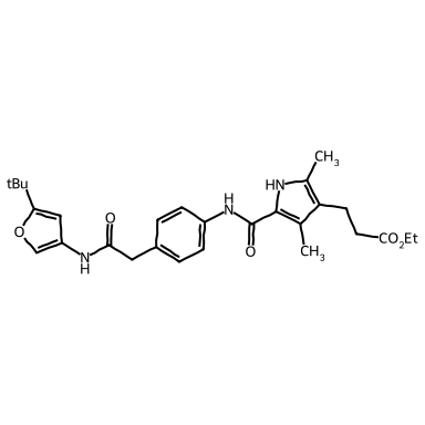 CCOC(=O)CCc1c(C)[nH]c(C(=O)Nc2ccc(CC(=O)Nc3coc(C(C)(C)C)c3)cc2)c1C